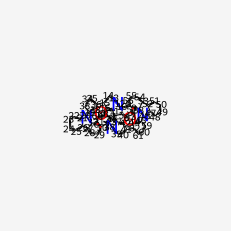 c1ccc([Si](c2ccccc2)(c2nccc3c2oc2c(-n4c5ccccc5c5ccccc54)cccc23)c2nccc3c2oc2c(-n4c5ccccc5c5ccccc54)cccc23)cc1